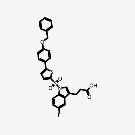 O=C(O)CCc1cn(S(=O)(=O)c2ccc(-c3ccc(OCc4ccccc4)cc3)s2)c2ccc(F)cc12